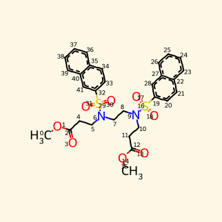 COC(=O)CCN(CCN(CCC(=O)OC)S(=O)(=O)c1ccc2ccccc2c1)S(=O)(=O)c1ccc2ccccc2c1